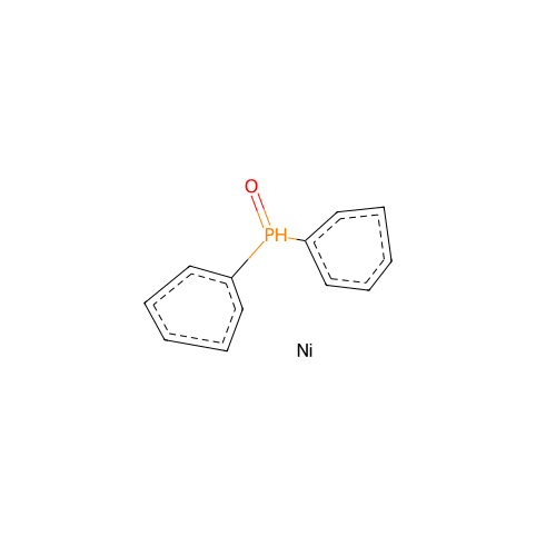 O=[PH](c1ccccc1)c1ccccc1.[Ni]